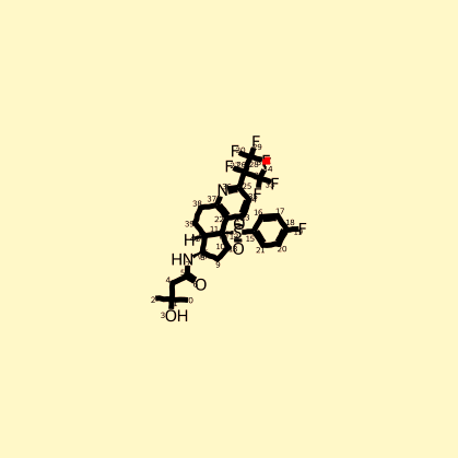 CC(C)(O)CC(=O)N[C@@H]1CC[C@@]2(S(=O)(=O)c3ccc(F)cc3)c3ccc(C(F)(C(F)(F)F)C(F)(F)F)nc3CC[C@@H]12